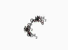 C=CS(=O)(=O)N1CCC(n2nc(-c3ccc(Oc4cccc(/C=C/C(=O)N5CCC(n6nc(-c7ccc(Oc8ccccc8)cc7)c7c(N)ncnc76)CC5)c4)cc3)c3c(N)ncnc32)CC1